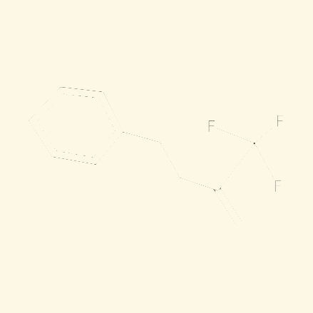 C=C(CCc1ccccc1)C(F)(F)F